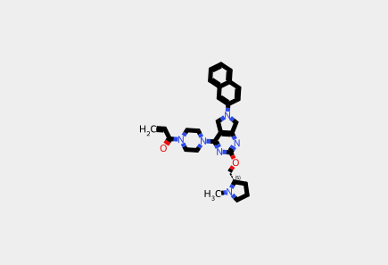 C=CC(=O)N1CCN(c2nc(OC[C@@H]3CCCN3C)nc3c2CN(c2ccc4ccccc4c2)C3)CC1